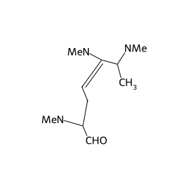 CN/C(=C/CC(C=O)NC)C(C)NC